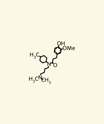 COc1cc(CCC(=O)N(CCCCN(C)C)C2CCC(C)CC2)ccc1O